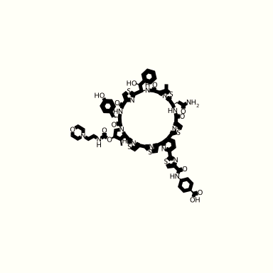 Cc1sc2nc1C(=O)N[C@@H]([C@H](O)c1ccccc1)c1nc(cs1)C(=O)N[C@@H](Cc1ccc(O)cc1)C(=O)N1C[C@H](OC(=O)NCCN3CCOCC3)[C@H](C)[C@H]1c1nc(cs1)-c1nc(cs1)-c1nc(-c3nc(C(=O)N[C@H]4CC[C@H](C(=O)O)CC4)cs3)ccc1-c1nc(cs1)C(=O)N[C@H]2CC(N)=O